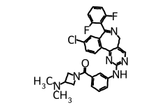 CN(C)C1CN(C(=O)c2cccc(Nc3ncc4c(n3)-c3ccc(Cl)cc3C(c3c(F)cccc3F)=NC4)c2)C1